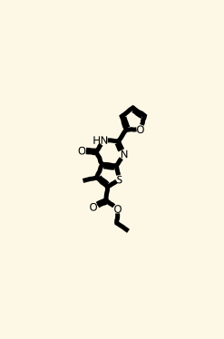 CCOC(=O)c1sc2nc(-c3ccco3)[nH]c(=O)c2c1C